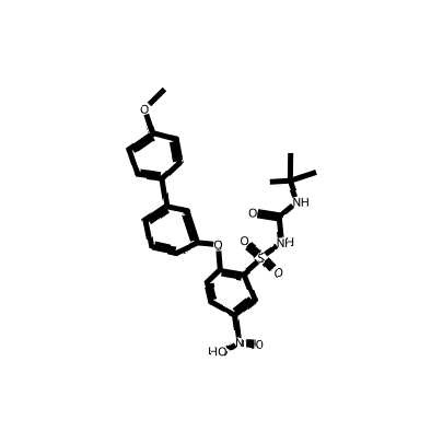 COc1ccc(-c2cccc(Oc3ccc([N+](=O)O)cc3S(=O)(=O)NC(=O)NC(C)(C)C)c2)cc1